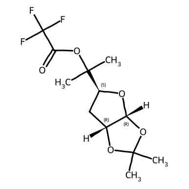 CC1(C)O[C@H]2O[C@H](C(C)(C)OC(=O)C(F)(F)F)C[C@H]2O1